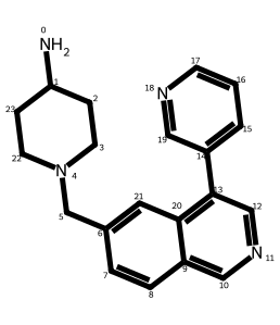 NC1CCN(Cc2ccc3cncc(-c4cccnc4)c3c2)CC1